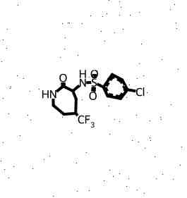 O=C1NCCC(C(F)(F)F)CC1NS(=O)(=O)c1ccc(Cl)cc1